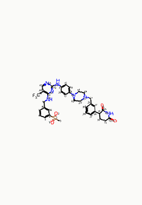 CS(=O)(=O)c1cccc(CNc2nc(Nc3ccc(N4CCN(Cc5cccc(C6CCC(=O)NC6=O)c5)CC4)cc3)ncc2C(F)(F)F)c1